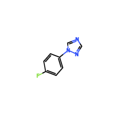 Fc1ccc(-n2cncn2)cc1